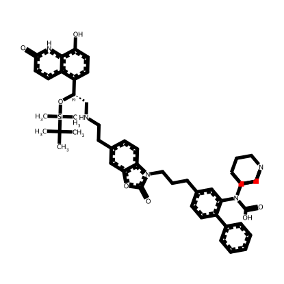 CC(C)(C)[Si](C)(C)O[C@@H](CNCCc1ccc2c(c1)oc(=O)n2CCCc1ccc(-c2ccccc2)c(N(C(=O)O)C2CN3CCC2CC3)c1)c1ccc(O)c2[nH]c(=O)ccc12